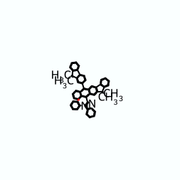 CC1(C)c2ccccc2-c2ccc(-c3c4ccccc4c(-c4nc5ccccc5n4-c4ccccc4)c4cc5c(cc34)-c3ccccc3C5(C)C)cc21